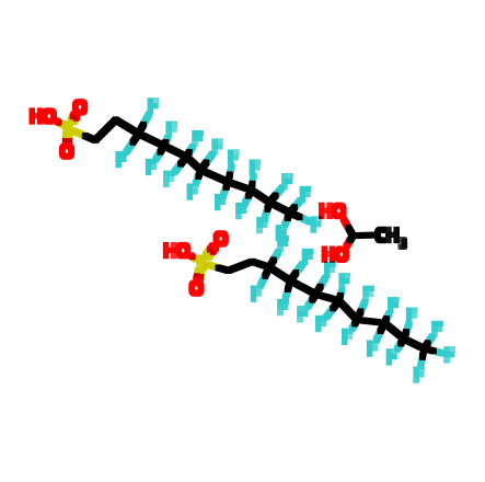 CC(O)O.O=S(=O)(O)CCC(F)(F)C(F)(F)C(F)(F)C(F)(F)C(F)(F)C(F)(F)C(F)(F)C(F)(F)F.O=S(=O)(O)CCC(F)(F)C(F)(F)C(F)(F)C(F)(F)C(F)(F)C(F)(F)C(F)(F)C(F)(F)F